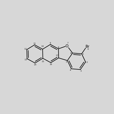 Brc1cccc2c1oc1cc3ccccc3cc12